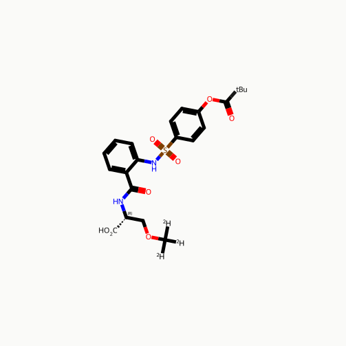 [2H]C([2H])([2H])OC[C@@H](NC(=O)c1ccccc1NS(=O)(=O)c1ccc(OC(=O)C(C)(C)C)cc1)C(=O)O